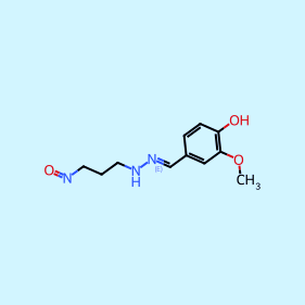 COc1cc(/C=N/NCCCN=O)ccc1O